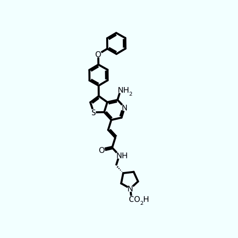 Nc1ncc(/C=C/C(=O)NC[C@@H]2CCN(C(=O)O)C2)c2scc(-c3ccc(Oc4ccccc4)cc3)c12